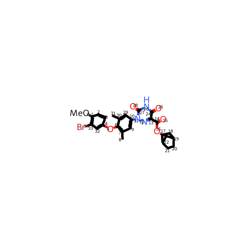 COc1ccc(Oc2c(C)cc(-n3nc(C(=O)OC4CC5CCC4C5)c(=O)[nH]c3=O)cc2C)cc1Br